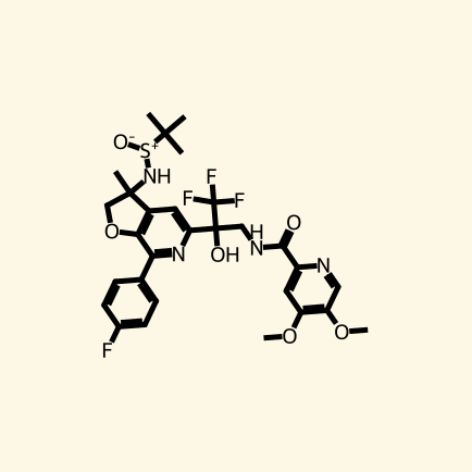 COc1cnc(C(=O)NCC(O)(c2cc3c(c(-c4ccc(F)cc4)n2)OCC3(C)N[S+]([O-])C(C)(C)C)C(F)(F)F)cc1OC